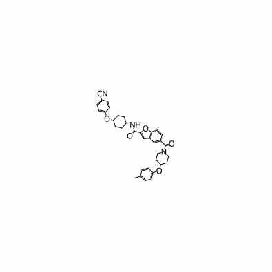 Cc1ccc(OC2CCN(C(=O)c3ccc4oc(C(=O)N[C@H]5CC[C@@H](Oc6ccc(C#N)cc6)CC5)cc4c3)CC2)cc1